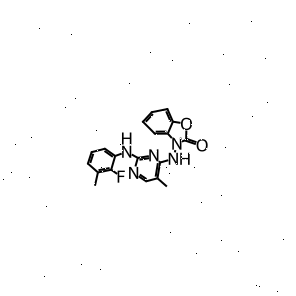 Cc1cnc(Nc2cccc(C)c2F)nc1Nn1c(=O)oc2ccccc21